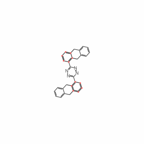 C1=CC2=C(CC1)C1c3ccccc3C2c2cccc(-c3nnc(-c4cccc5c4C4c6ccccc6C5c5ccccc54)nn3)c21